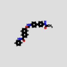 CC(=O)Nc1ccc(-c2ccc(NCOc3ccc4cc(C(=O)Nc5ccccc5)ccc4c3)cc2)cc1